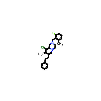 C=C1C(CCc2ccccc2)=CN2CCN(Cc3c(C)cccc3F)CC2=C1Cl